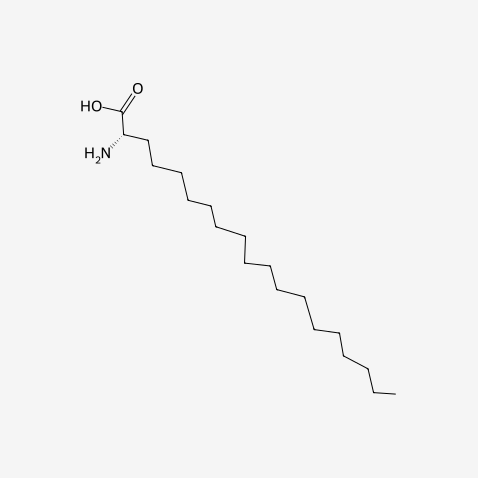 CCCCCCCCCCCCCCCCC[C@H](N)C(=O)O